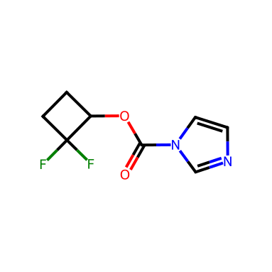 O=C(OC1CCC1(F)F)n1ccnc1